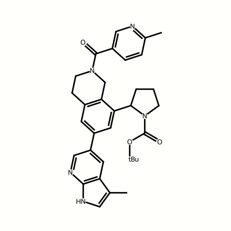 Cc1ccc(C(=O)N2CCc3cc(-c4cnc5[nH]cc(C)c5c4)cc(C4CCCN4C(=O)OC(C)(C)C)c3C2)cn1